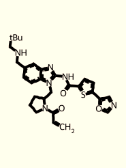 C=CC(=O)N1CCCC1Cn1c(NC(=O)c2ccc(-c3cnco3)s2)nc2cc(CNCC(C)(C)C)ccc21